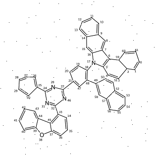 C1=CC2C=Cc3c(c4cc5ccccc5cc4n3-c3ccc(-c4nc(-c5ccccc5)nc(-c5cccc6oc7ccccc7c56)n4)cc3-c3ccc4ccccc4c3)C2C=C1